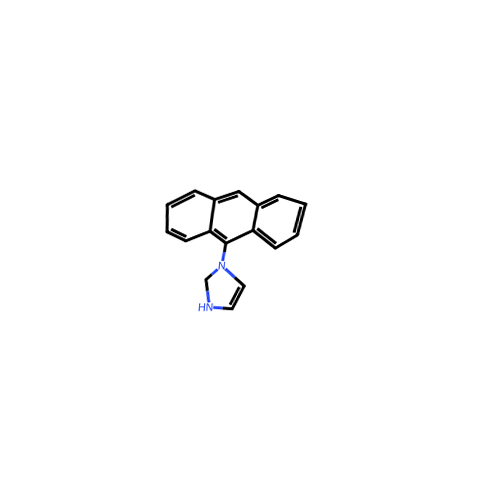 C1=CN(c2c3ccccc3cc3ccccc23)CN1